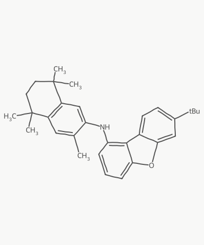 Cc1cc2c(cc1Nc1cccc3oc4cc(C(C)(C)C)ccc4c13)C(C)(C)CCC2(C)C